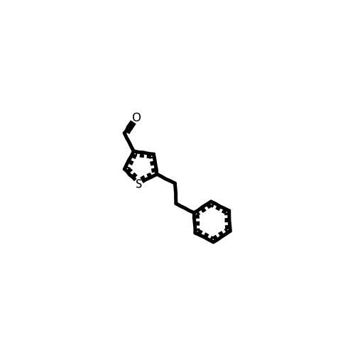 O=Cc1csc(CCc2ccccc2)c1